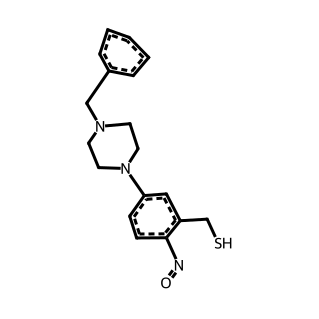 O=Nc1ccc(N2CCN(Cc3ccccc3)CC2)cc1CS